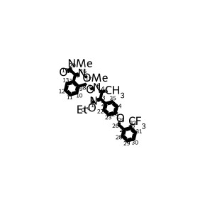 CCON=C(C(C)=NOCc1ccccc1C(=NOC)C(=O)NC)c1ccc(OCc2ccccc2C(F)(F)F)cc1